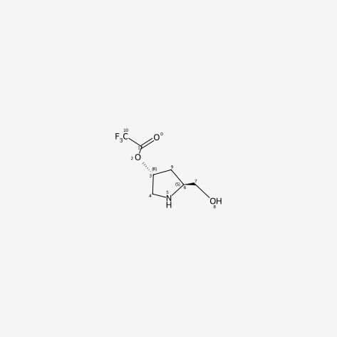 O=C(O[C@H]1CN[C@H](CO)C1)C(F)(F)F